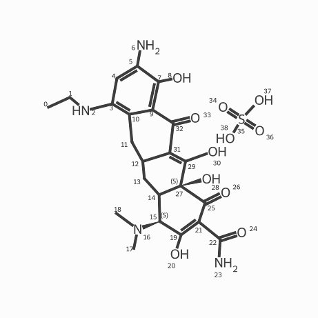 CCNc1cc(N)c(O)c2c1CC1CC3[C@H](N(C)C)C(O)=C(C(N)=O)C(=O)[C@@]3(O)C(O)=C1C2=O.O=S(=O)(O)O